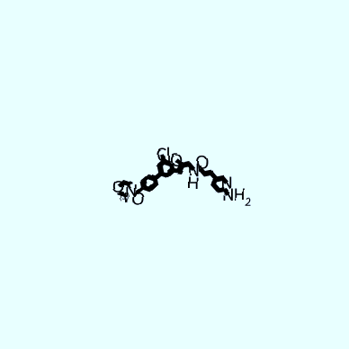 C[C@H]1COCCN1C(=O)c1ccc(-c2cc(Cl)c3oc(CNC(=O)C=Cc4ccc(N)nc4)cc3c2)cc1